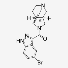 O=C(c1n[nH]c2ccc(Br)cc12)N1C[C@@H]2CN3C=C1[C@H]2CC3